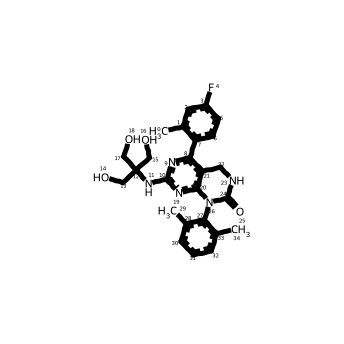 Cc1cc(F)ccc1-c1nc(NC(CO)(CO)CO)nc2c1CNC(=O)N2c1c(C)cccc1C